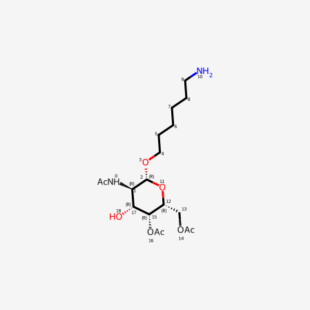 CC(=O)N[C@H]1[C@H](OCCCCCCN)O[C@H](COC(C)=O)[C@H](OC(C)=O)[C@@H]1O